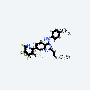 CCOC(=O)CCc1nc(Nc2ccc(C(F)(F)F)cc2)c2ccc(-c3nc(F)c(F)c(F)c3C)cc2n1